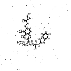 CCOC(=O)CCc1ccc(O[C@@H](C)[C@@H](O)CNC(C)(C)CC2Cc3ccccc3C2)c(Cl)c1Cl.Cl